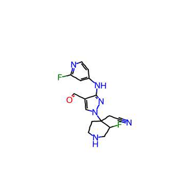 N#CCC1(n2cc(C=O)c(Nc3ccnc(F)c3)n2)CCNCC1F